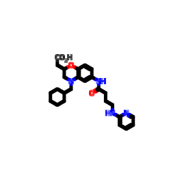 O=C(O)CC1CN(CC2CCCCC2)c2cc(NC(=O)CCCNc3ccccn3)ccc2O1